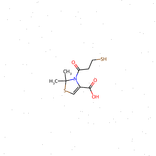 CC1(C)SC=C(C(=O)O)N1C(=O)CCS